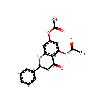 CC(=O)Oc1cc(OC(C)=O)c2c(c1)OC(c1cc[c]cc1)CC2=O